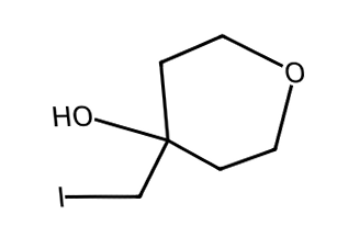 OC1(CI)CCOCC1